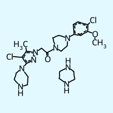 C1CNCCN1.COc1cc(N2CCN(C(=O)Cn3nc(N4CCNCC4)c(Cl)c3C)CC2)ccc1Cl